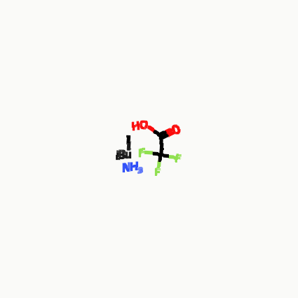 CCC(C)C.N.O=C(O)C(F)(F)F